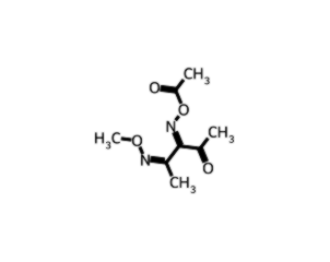 CON=C(C)C(=NOC(C)=O)C(C)=O